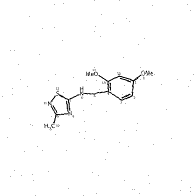 COc1ccc(CNc2nc(C)ns2)c(OC)c1